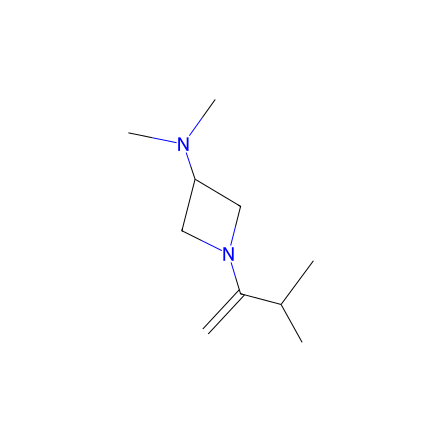 C=C(C(C)C)N1CC(N(C)C)C1